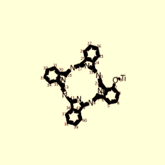 [Ti][O]c1cccc2c3nc4nc(nc5[nH]c(nc6nc(nc([nH]3)c12)-c1ccccc1-6)c1ccccc51)-c1ccccc1-4